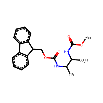 CCCC(NC(=O)OCC1c2ccccc2-c2ccccc21)C(NC(=O)OC(C)(C)C)C(=O)O